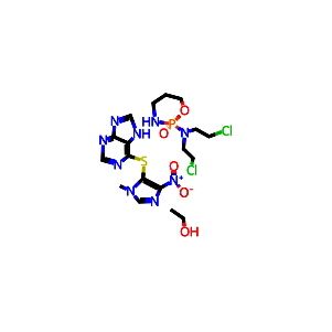 CCO.Cn1cnc([N+](=O)[O-])c1Sc1ncnc2nc[nH]c12.O=P1(N(CCCl)CCCl)NCCCO1